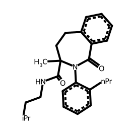 CCCc1ccccc1N1C(=O)c2ccccc2CCC1(C)C(=O)NCCC(C)C